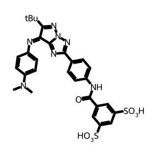 CN(C)c1ccc(/N=C2/C(C(C)(C)C)=Nn3nc(-c4ccc(NC(=O)c5cc(S(=O)(=O)O)cc(S(=O)(=O)O)c5)cc4)nc32)cc1